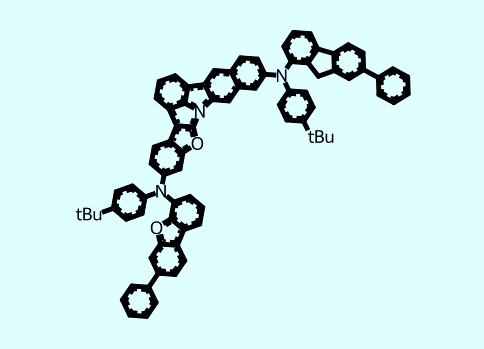 CC(C)(C)c1ccc(N(c2ccc3cc4c5cccc6c7c8ccc(N(c9ccc(C(C)(C)C)cc9)c9cccc%10c9oc9cc(-c%11ccccc%11)ccc9%10)cc8oc7n(c4cc3c2)c56)c2cccc3c2Cc2cc(-c4ccccc4)ccc2-3)cc1